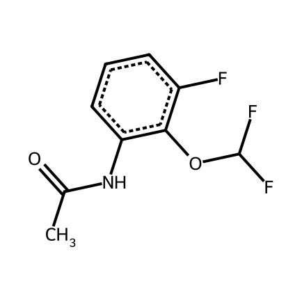 CC(=O)Nc1cccc(F)c1OC(F)F